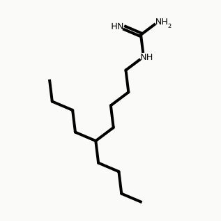 CCCCC(CCCC)CCCCNC(=N)N